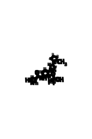 CC1CCCN1C1CCN(c2ccc(NC(=O)c3cn[nH]c3)cc2)C1.O=C(O)C(F)(F)F